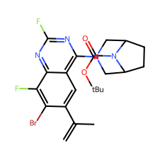 C=C(C)c1cc2c(N3CC4CCC(C3)N4C(=O)OC(C)(C)C)nc(F)nc2c(F)c1Br